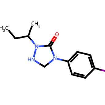 CCC(C)N1NCN(c2ccc(I)cc2)C1=O